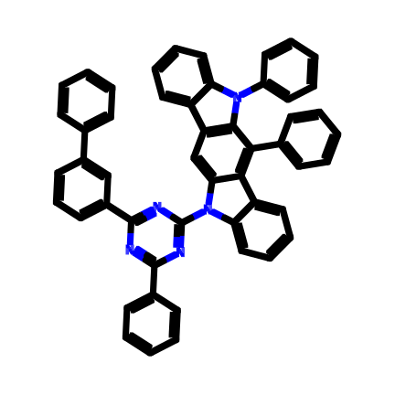 c1ccc(-c2cccc(-c3nc(-c4ccccc4)nc(-n4c5ccccc5c5c(-c6ccccc6)c6c(cc54)c4ccccc4n6-c4ccccc4)n3)c2)cc1